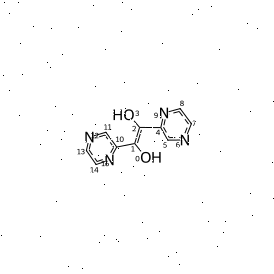 O/C(=C(/O)c1cnccn1)c1cnccn1